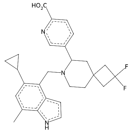 Cc1cc(C2CC2)c(CN2CCC3(CC2c2ccc(C(=O)O)nc2)CC(F)(F)C3)c2cc[nH]c12